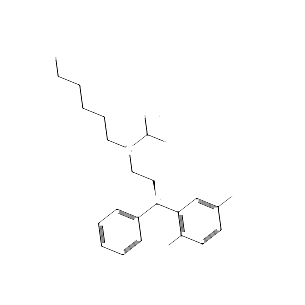 Cc1ccc(O)c([C@H](CCN(CCCCCO)C(C)C)c2ccccc2)c1